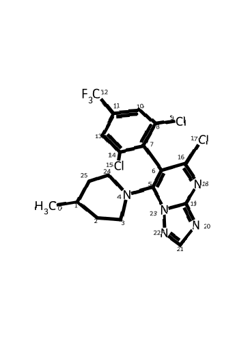 CC1CCN(c2c(-c3c(Cl)cc(C(F)(F)F)cc3Cl)c(Cl)nc3ncnn23)CC1